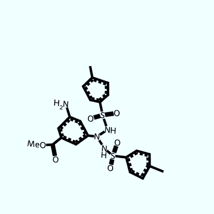 COC(=O)c1cc(N)cc(N(NS(=O)(=O)c2ccc(C)cc2)NS(=O)(=O)c2ccc(C)cc2)c1